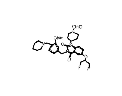 COc1cc(Cn2c(=O)c3cc(OC(CF)CF)ccc3n(C3CCN(C=O)CC3)c2=O)ccc1CN1CCCCC1